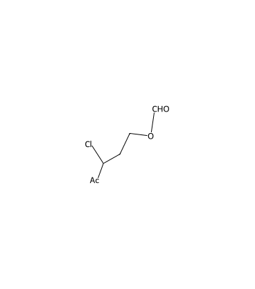 CC(=O)C(Cl)CCOC=O